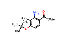 COC(=O)c1ccc(O[Si](C)(C)C(C)(C)C)c(C)c1N